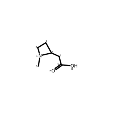 CN1CCC1CC(=O)O